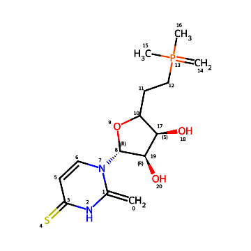 C=C1NC(=S)C=CN1[C@@H]1OC(CCP(=C)(C)C)[C@@H](O)[C@H]1O